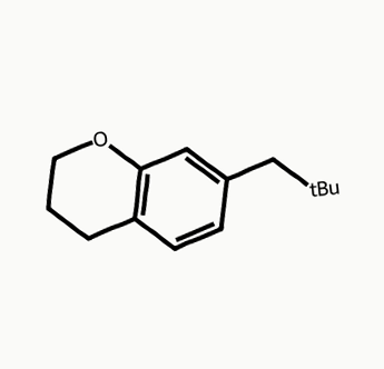 CC(C)(C)Cc1ccc2c(c1)OCCC2